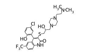 CN(C)CCN1CCN(CC(O)CSc2c(-c3cc(Cl)ccc3O)c3cc(C(F)(F)F)ccc3[nH]c2=O)CC1